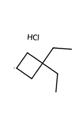 CCC1(CC)C[CH]C1.Cl